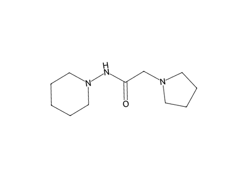 O=C(CN1CCCC1)NN1CCCCC1